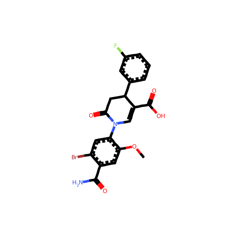 COc1cc(C(N)=O)c(Br)cc1N1C=C(C(=O)O)C(c2cccc(F)c2)CC1=O